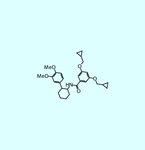 COc1ccc(C2CCCCC2NC(=O)c2cc(OCC3CC3)cc(OCC3CC3)c2)cc1OC